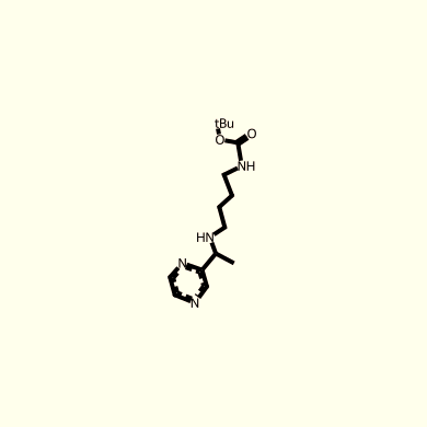 CC(NCCCCNC(=O)OC(C)(C)C)c1cnccn1